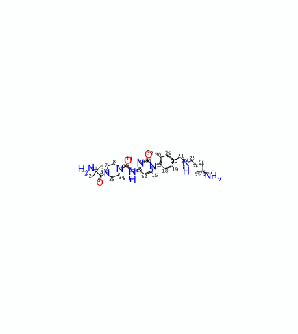 CC(C)(N)C(=O)N1CCN(C(=O)Nc2ccn(-c3ccc(CNCC4CC(N)C4)cc3)c(=O)n2)CC1